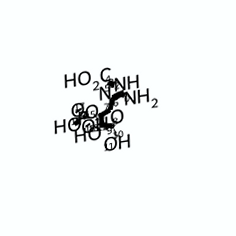 Nc1[nH]c(C(=O)O)nc1C1O[C@H](CO)[C@@H](O)[C@H]1OP(=O)(O)O